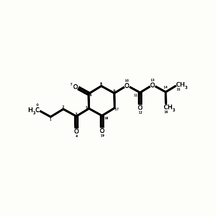 CCCC(=O)C1C(=O)CC(OC(=O)OC(C)C)CC1=O